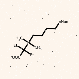 CCCCCCCCCCCCC[N+](C)(C)C(CC)(CC)C(=O)[O-]